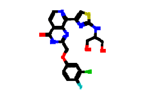 O=c1[nH]c(COc2ccc(F)c(Cl)c2)nc2c(-c3csc(NC(CO)CO)n3)nccc12